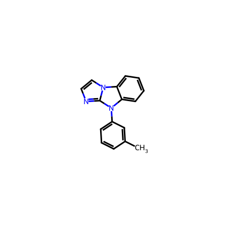 Cc1cccc(-n2c3ccccc3n3ccnc23)c1